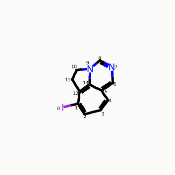 IC1=CC=CC2=CN=CN3CCC1=C23